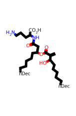 C=C(C(=O)OC(CCCCCCCCCCCCCCC)CC(=O)NC(CCCN)C(=O)O)C(O)CCCCCCCCCCCCCCC